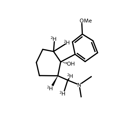 [2H]C([2H])(N(C)C)[C@]1([2H])CCCC([2H])([2H])[C@@]1(O)c1cccc(OC)c1